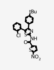 CC(C)(C)c1ccc(-c2nc(NC(=O)c3ccc([N+](=O)[O-])s3)sc2-c2ccccc2Cl)cc1